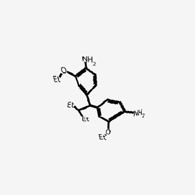 CCOc1cc(C(c2ccc(N)c(OCC)c2)C(CC)CC)ccc1N